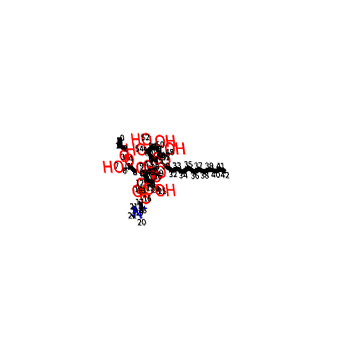 C=CCOO[C@@H](CO)CO[C@H]1[C@H](OP(=O)([O-])OCC[N+](C)(C)C)[C@@H](CO)O[C@@]1(COC(=O)CCCCCCCCCCC)O[C@H]1O[C@H](CO)[C@@H](O)[C@H](O)[C@H]1O